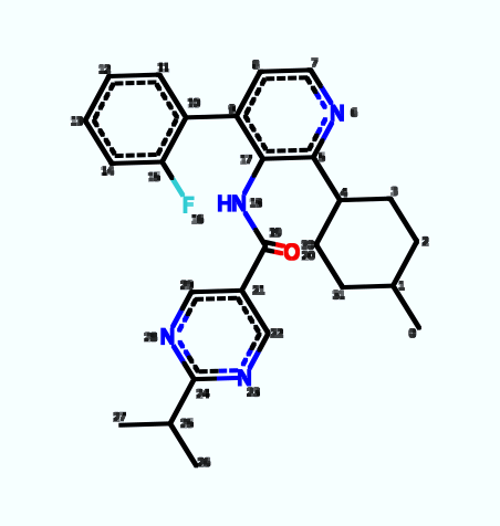 CC1CCC(c2nccc(-c3ccccc3F)c2NC(=O)c2cnc(C(C)C)nc2)CC1